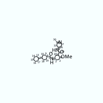 COc1ccc(NC(=O)c2ccc(-c3ccccc3)cc2)cc1C(=O)Nc1ccnc(C)c1